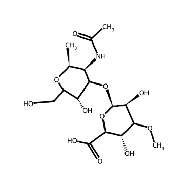 COC1[C@H](O)C(C(=O)O)O[C@@H](OC2[C@H](O)C(CO)O[C@@H](C)[C@H]2NC(C)=O)[C@H]1O